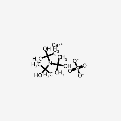 CC(C)(O)N(C(C)(C)O)C(C)(C)O.O=S(=O)([O-])[O-].[Ca+2]